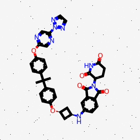 CC(C)(c1ccc(Oc2cnc(-n3nccn3)cn2)cc1)c1ccc(O[C@H]2C[C@H](Nc3ccc4c(c3)C(=O)N(C3CCC(=O)NC3=O)C4=O)C2)cc1